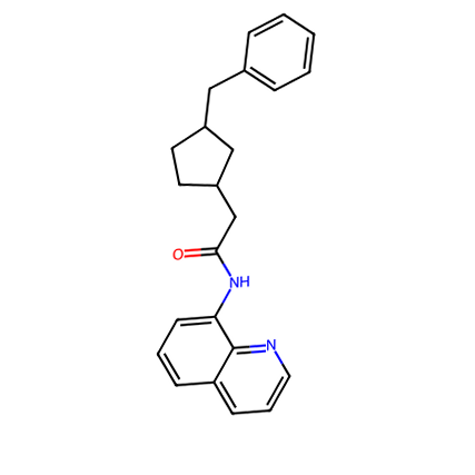 O=C(CC1CCC(Cc2ccccc2)C1)Nc1cccc2cccnc12